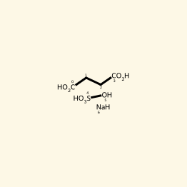 O=C(O)CCC(=O)O.O=S(=O)(O)O.[NaH]